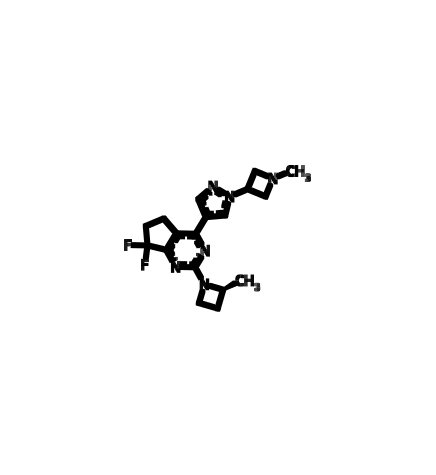 C[C@H]1CCN1c1nc(-c2cnn(C3CN(C)C3)c2)c2c(n1)C(F)(F)CC2